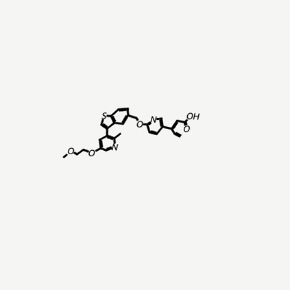 C=C/C(=C\C(=O)O)c1ccc(OCc2ccc3scc(-c4cc(OCCOC)cnc4C)c3c2)nc1